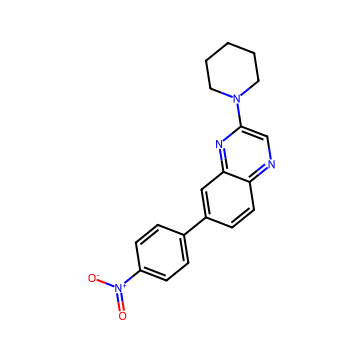 O=[N+]([O-])c1ccc(-c2ccc3ncc(N4CCCCC4)nc3c2)cc1